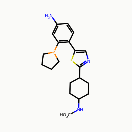 Nc1ccc(-c2cnc(C3CCC(NC(=O)O)CC3)s2)c(P2CCCC2)c1